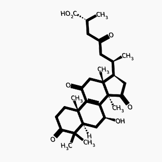 C[C@H](CC(=O)C[C@@H](C)[C@H]1CC(=O)[C@@]2(C)C3=C(C(=O)C[C@]12C)[C@@]1(C)CCC(=O)C(C)(C)[C@@H]1C[C@@H]3O)C(=O)O